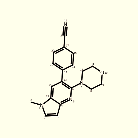 Cn1ccc2nc(N3CCOCC3)c(-c3ccc(C#N)cc3)cc21